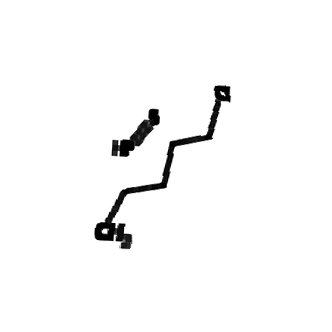 CCCCCCl.P=S